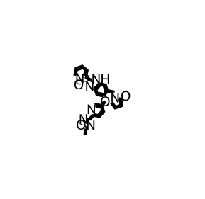 Cc1nc(-c2ccc(Oc3cc4nc(-c5cccc[n+]5[O-])[nH]c4cc3CN3CCCC3=O)cn2)no1